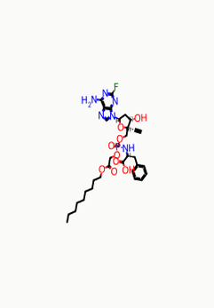 C#C[C@]1(CO[P@@](=O)(N[C@@H](Cc2ccccc2)C(=O)O)OCC(=O)OCCCCCCCCC)O[C@@H](n2cnc3c(N)nc(F)nc32)C[C@@H]1O